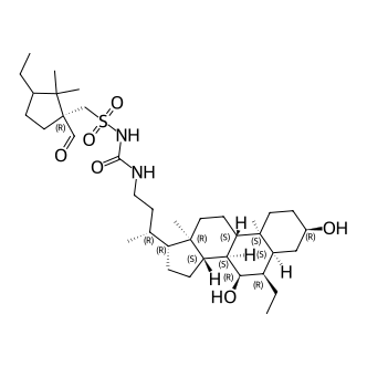 CCC1CC[C@@](C=O)(CS(=O)(=O)NC(=O)NCC[C@@H](C)[C@H]2CC[C@H]3[C@@H]4[C@H](O)[C@H](CC)[C@@H]5C[C@H](O)CC[C@]5(C)[C@H]4CC[C@]23C)C1(C)C